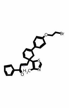 Cc1ncsc1C1(/C=C/C(=O)c2ccccc2)C=CC=C(c2ccc(OCCBr)cc2)C1